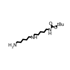 CC(C)(C)OC(=O)NCCCCCNCCCCCN